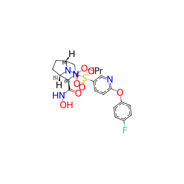 CC(C)OC(=O)N1[C@@H]2CC[C@H]1[C@H](C(=O)NO)N(S(=O)(=O)c1ccc(Oc3ccc(F)cc3)nc1)C2